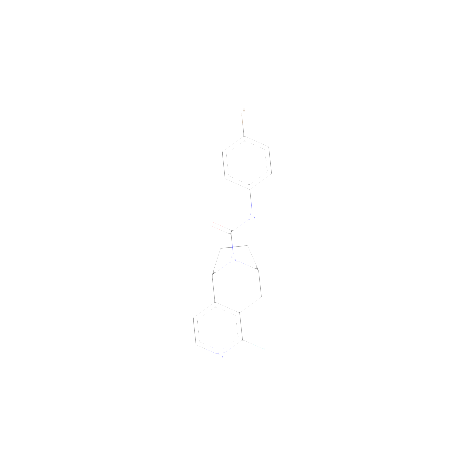 O=C(Nc1ccc(Br)cc1)N1C2CCC1c1ccnc(F)c1C2